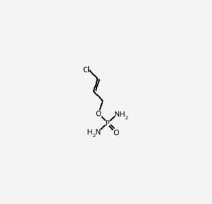 NP(N)(=O)OCC=CCl